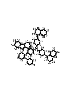 c1ccc(-c2cc(N(c3ccc(-c4cccc5ccccc45)cc3)c3ccc(-c4cccc5ccccc45)cc3)ccc2-c2ccccc2-n2c3ccccc3c3ccccc32)cc1